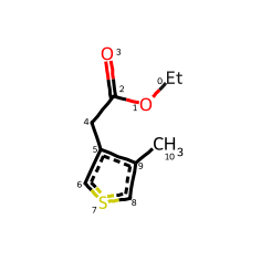 CCOC(=O)Cc1cscc1C